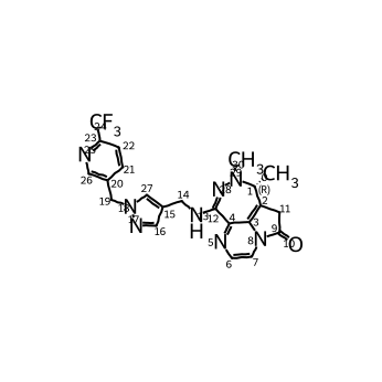 C[C@@H]1C2=C3C(=NC=CN3C(=O)C2)C(NCc2cnn(Cc3ccc(C(F)(F)F)nc3)c2)=NN1C